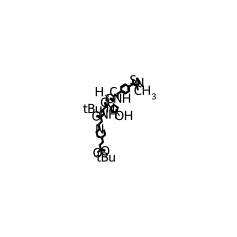 Cc1ncsc1-c1ccc([C@H](C)NC(=O)[C@@H]2C[C@@H](O)CN2C(=O)[C@@H](NC(=O)CCN2CCC(CCC(=O)OC(C)(C)C)CC2)C(C)(C)C)cc1